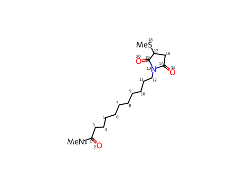 CNC(=O)CCCCCCCCCCN1C(=O)CC(SC)C1=O